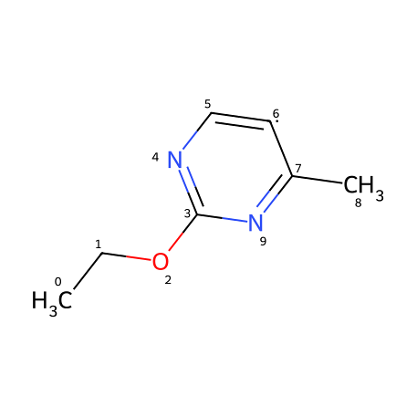 CCOc1nc[c]c(C)n1